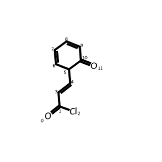 O=C(Cl)C=CC1C=CC=CC1=O